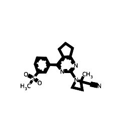 CC1(C#N)CCN1c1nc2c(c(-c3cccc(S(C)(=O)=O)c3)n1)CCC2